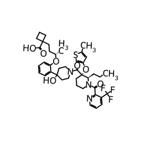 CCC[C@H]1N(C(=O)c2ncccc2C(F)(F)F)CCC[C@@]1(Oc1csc(C)c1)C(=O)N1CCC(O)(c2ccccc2O[C@@H](C)CCC2(C(=O)O)CCC2)CC1